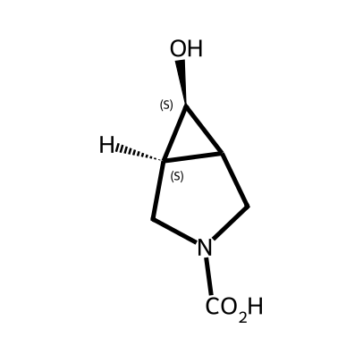 O=C(O)N1CC2[C@@H](C1)[C@H]2O